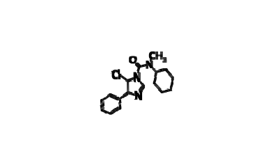 CN(C(=O)N1C=NC(c2ccccc2)C1Cl)C1CCCCC1